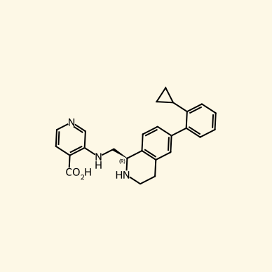 O=C(O)c1ccncc1NC[C@@H]1NCCc2cc(-c3ccccc3C3CC3)ccc21